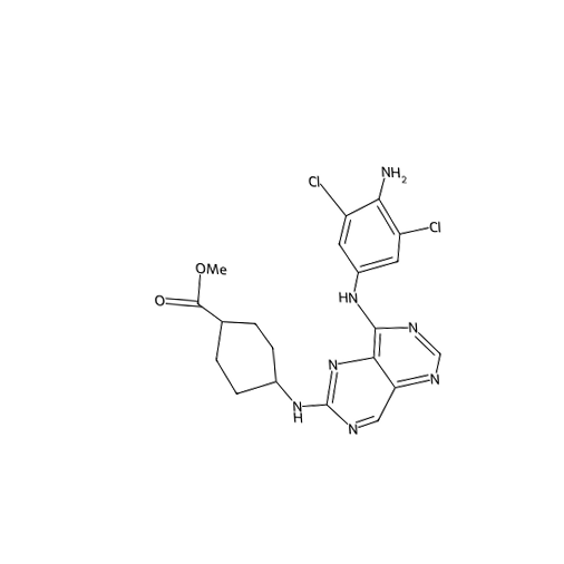 COC(=O)C1CCC(Nc2ncc3ncnc(Nc4cc(Cl)c(N)c(Cl)c4)c3n2)CC1